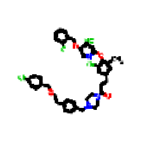 Cc1cc(/C=C/C(=O)N2CCN(Cc3ccc(CCOCc4ccc(Cl)cc4)cc3)CC2)cc(Cl)c1Oc1ccc(OCc2ccccc2Cl)cn1.Cl